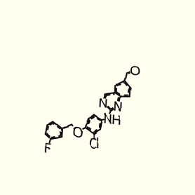 O=Cc1ccc2nc(Nc3ccc(OCc4cccc(F)c4)c(Cl)c3)ncc2c1